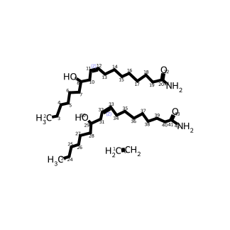 C=C.CCCCCCC(O)C/C=C\CCCCCCCC(N)=O.CCCCCCC(O)C/C=C\CCCCCCCC(N)=O